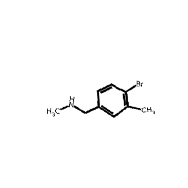 CNCc1ccc(Br)c(C)c1